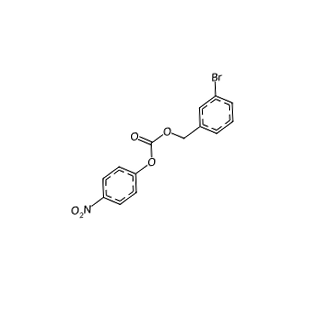 O=C(OCc1cccc(Br)c1)Oc1ccc([N+](=O)[O-])cc1